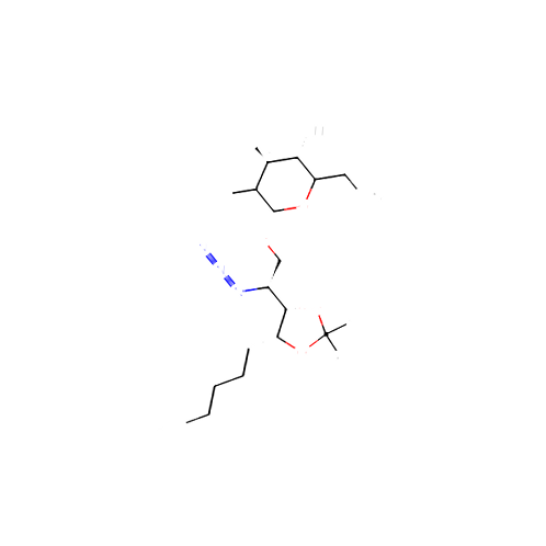 CCCCCCCCCCCCCC[C@H]1OC(C)(C)O[C@H]1[C@H](CO[C@H]1OC(COC(C)=O)[C@@H](C)[C@H](C)C1C)N=[N+]=[N-]